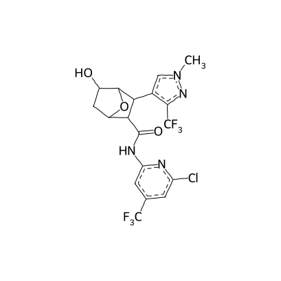 Cn1cc(C2C3OC(CC3O)C2C(=O)Nc2cc(C(F)(F)F)cc(Cl)n2)c(C(F)(F)F)n1